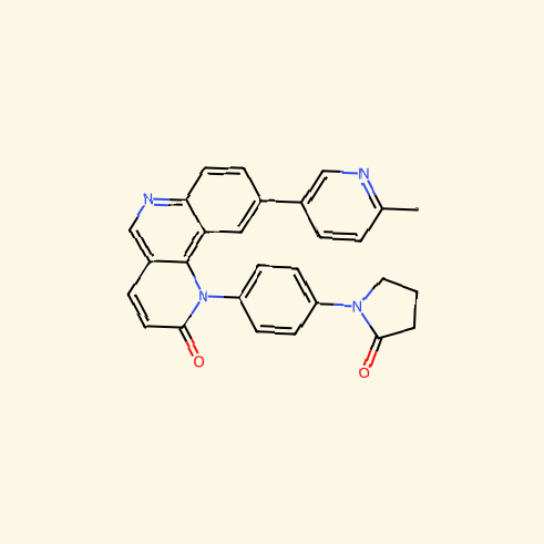 Cc1ccc(-c2ccc3ncc4ccc(=O)n(-c5ccc(N6CCCC6=O)cc5)c4c3c2)cn1